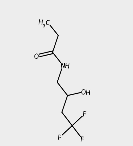 CCC(=O)NCC(O)CC(F)(F)F